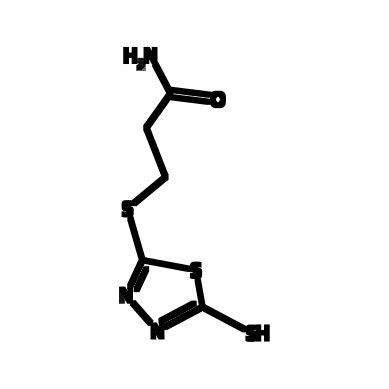 NC(=O)CCSc1nnc(S)s1